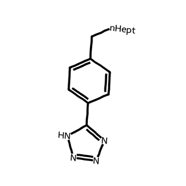 CCCCCCCCc1ccc(-c2nnn[nH]2)cc1